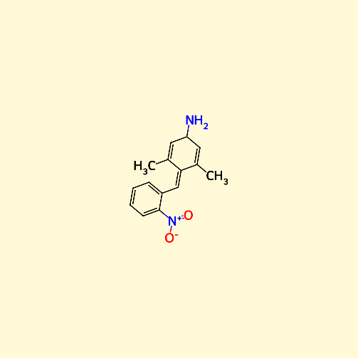 CC1=CC(N)C=C(C)C1=Cc1ccccc1[N+](=O)[O-]